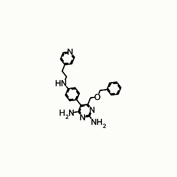 Nc1nc(N)c(-c2ccc(NCCc3ccncc3)cc2)c(COCc2ccccc2)n1